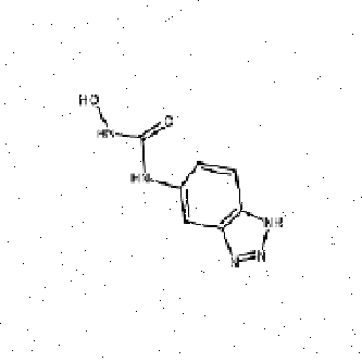 O=C(NO)Nc1ccc2[nH]nnc2c1